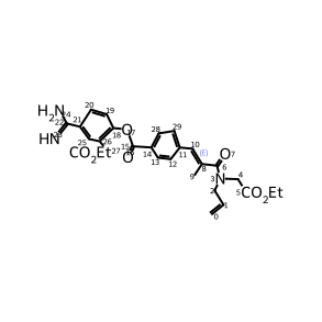 C=CCN(CC(=O)OCC)C(=O)/C(C)=C/c1ccc(C(=O)Oc2ccc(C(=N)N)cc2C(=O)OCC)cc1